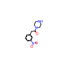 O=C(Cc1cccc([N+](=O)[O-])c1)N1CCNCC1